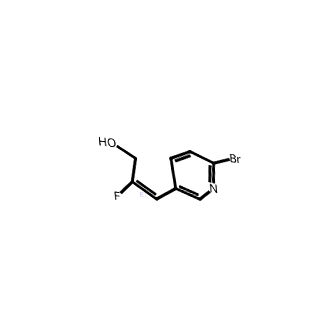 OC/C(F)=C\c1ccc(Br)nc1